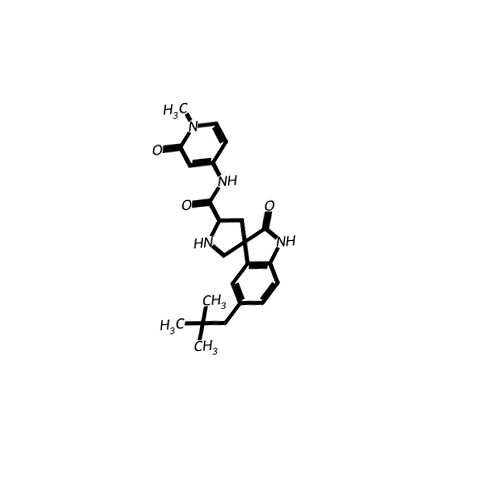 Cn1ccc(NC(=O)C2CC3(CN2)C(=O)Nc2ccc(CC(C)(C)C)cc23)cc1=O